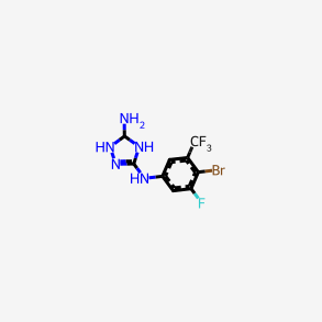 NC1NN=C(Nc2cc(F)c(Br)c(C(F)(F)F)c2)N1